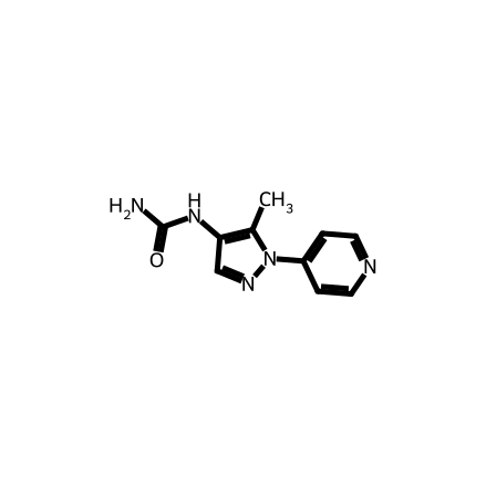 Cc1c(NC(N)=O)cnn1-c1ccncc1